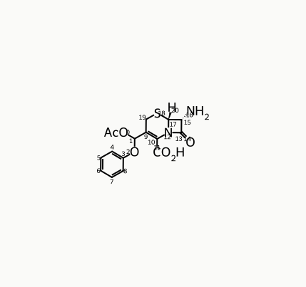 CC(=O)OC(Oc1ccccc1)C1=C(C(=O)O)N2C(=O)[C@@H](N)[C@H]2SC1